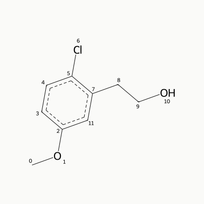 COc1ccc(Cl)c(CCO)c1